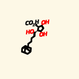 O=C(O)C[C@@H]1[C@@H](C(O)=CCCCC23CC4CC(CC(C4)C2)C3)[C@H](O)C[C@@H]1O